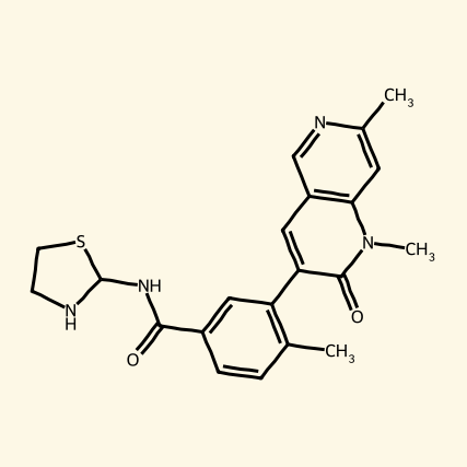 Cc1cc2c(cn1)cc(-c1cc(C(=O)NC3NCCS3)ccc1C)c(=O)n2C